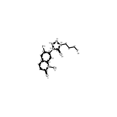 CCn1c(=O)ccc2cc(F)c(-n3nnn(CCCF)c3=O)cc21